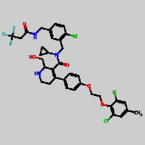 Cc1cc(Cl)c(OCCOc2ccc(C3=C(C(=O)N(Cc4cc(CNC(=O)CC(F)(F)F)ccc4Cl)C4CC4)C(CO)NCC3)cc2)c(Cl)c1